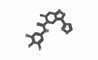 C[C@H]1Cc2noc(-c3ccsn3)c2CN1C(=O)Nc1cc(F)c(F)c(F)c1